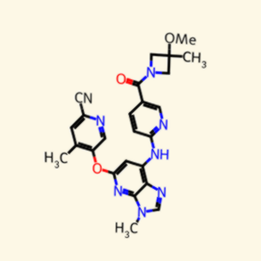 COC1(C)CN(C(=O)c2ccc(Nc3cc(Oc4cnc(C#N)cc4C)nc4c3ncn4C)nc2)C1